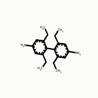 CCc1cc(N)cc(CC)c1-c1c(CC)cc(N)cc1CC